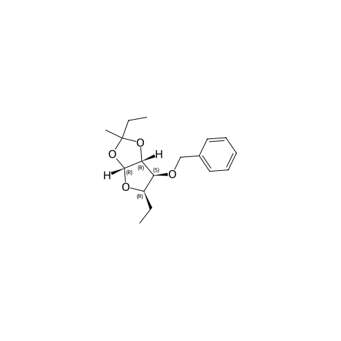 CC[C@H]1O[C@@H]2OC(C)(CC)O[C@@H]2[C@H]1OCc1ccccc1